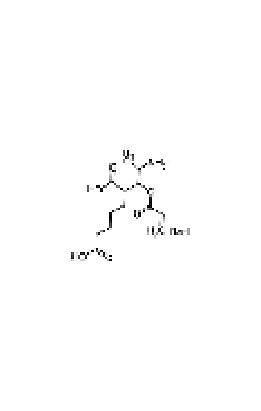 [CH2]C(C)C(OC(=O)C=C)C(CCCCC(=O)O)C(=O)O.[NaH]